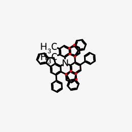 Cc1cc2c(c(N(c3c4c(cc(-c5ccccc5)c3-c3ccccc3)-c3ccccc3C4)c3c4c(cc(-c5ccccc5)c3-c3ccccc3)-c3ccccc3C4)c1C)Cc1ccccc1-2